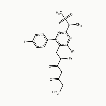 CCCC(Cc1c(-c2ccc(F)cc2)nc(N(C)S(C)(=O)=O)nc1C(C)C)C(=O)CC(=O)CC(=O)O